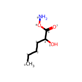 CCCCC(O)C(=O)ON